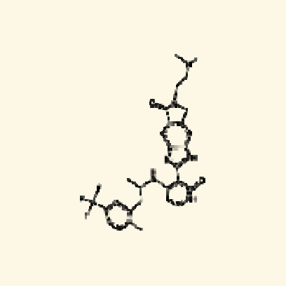 Cc1ccc(C(F)(F)F)cc1CC(C)Nc1cc[nH]c(=O)c1-c1nc2cc3c(cc2[nH]1)CN(CCN(C)C)C3=O